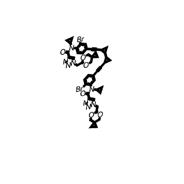 O=C(c1cn(CC2OCC3(CC3)CO2)nn1)N(c1ccc(C#CC2CC2C2CC2C#Cc2ccc(Br)c(N(C(=O)c3cn(CC4OCC5(CC5)CO4)nn3)C3CC3)c2)cc1Br)C1CC1